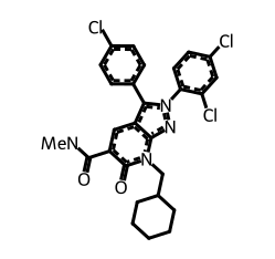 CNC(=O)c1cc2c(-c3ccc(Cl)cc3)n(-c3ccc(Cl)cc3Cl)nc2n(CC2CCCCC2)c1=O